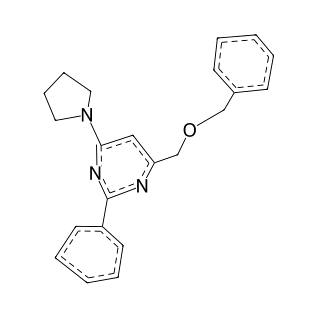 c1ccc(COCc2cc(N3CCCC3)nc(-c3ccccc3)n2)cc1